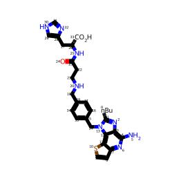 CCCCc1nc2c(N)nc3ccsc3c2n1Cc1ccc(CNCCC(=O)NC(Cc2c[nH]cn2)C(=O)O)cc1